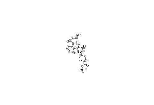 CC(C)(C)OC(=O)N1CCC(c2cc(=O)[nH]c3c4c(N5CC[C@H](O)CC5=O)cccc4nn23)CC1